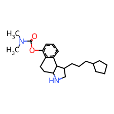 CN(C)C(=O)Oc1cccc2c1CCC1NCC(CCCC3CCCC3)C21